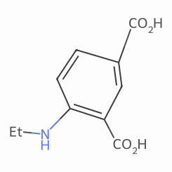 CCNc1ccc(C(=O)O)cc1C(=O)O